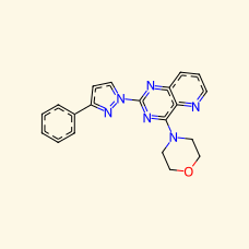 c1ccc(-c2ccn(-c3nc(N4CCOCC4)c4ncccc4n3)n2)cc1